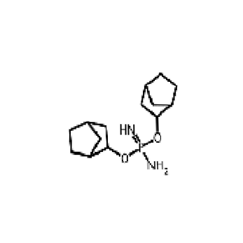 N=P(N)(OC1CC2CCC1C2)OC1CC2CCC1C2